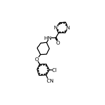 N#Cc1ccc(OC2CCC(NC(=O)c3cnccn3)CC2)cc1Cl